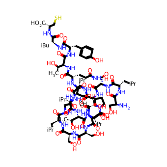 CC[C@H](C)[C@H](NC(=O)[C@H](Cc1ccc(O)cc1)NC(=O)[C@@H](NC(=O)[C@H](CCC(N)=O)NC(=O)[C@@H](NC(=O)CNC(=O)[C@H](CC(C)C)NC(=O)[C@H](CO)NC(=O)[C@H](CO)NC(=O)[C@H](CO)NC(=O)[C@@H]1CCCN1C(=O)[C@@H](NC(=O)[C@@H](NC(=O)[C@@H](NC(=O)[C@@H](NC(=O)[C@H](CO)NC(=O)[C@H](CO)NC(=O)[C@H](CC(C)C)NC(=O)[C@@H](N)CO)C(C)C)C(C)C)[C@@H](C)O)C(C)C)[C@@H](C)O)[C@@H](C)O)C(=O)N[C@@H](CS)C(=O)O